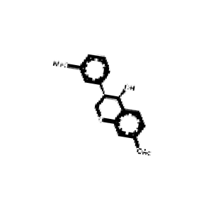 COc1cccc([C@@H]2COc3cc(OC(C)=O)ccc3[C@@H]2O)c1